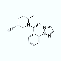 C#C[C@@H]1CC[C@@H](C)N(C(=O)c2ccccc2-n2nccn2)C1